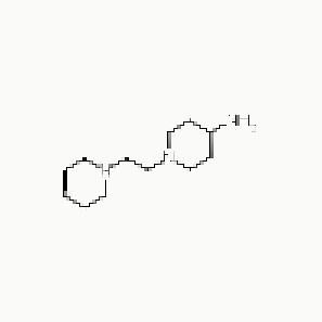 NC1CCN(CCN2CC=CCC2)CC1